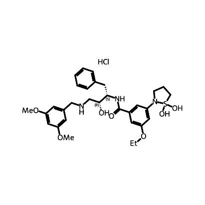 CCOc1cc(C(=O)N[C@@H](Cc2ccccc2)[C@H](O)CNCc2cc(OC)cc(OC)c2)cc(N2CCCS2(O)O)c1.Cl